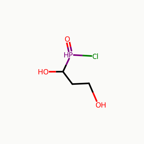 O=[PH](Cl)C(O)CCO